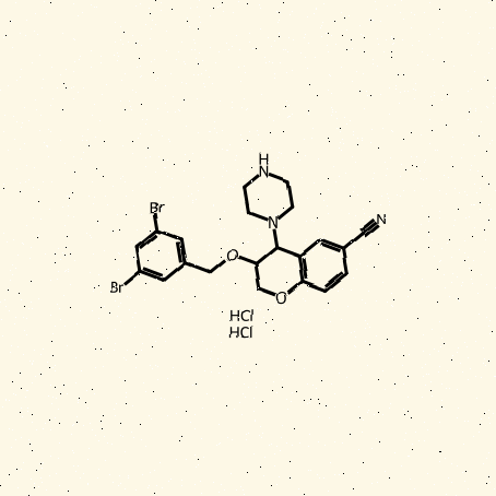 Cl.Cl.N#Cc1ccc2c(c1)C(N1CCNCC1)C(OCc1cc(Br)cc(Br)c1)CO2